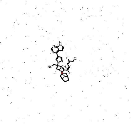 C=C(CN1C2CCC1CC(N1CC(CC#N)(n3cc(-c4ncnc5[nH]ccc45)cn3)C1)C2)/C(F)=C\C=C(\F)CCl